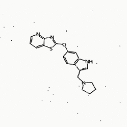 c1cnc2nc(Oc3ccc4c(CN5CCCC5)c[nH]c4c3)sc2c1